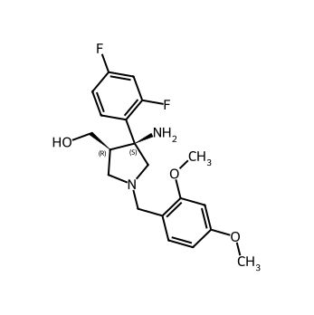 COc1ccc(CN2C[C@@H](CO)[C@](N)(c3ccc(F)cc3F)C2)c(OC)c1